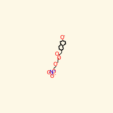 COc1ccc2cc(CC(=O)OCCOCCO[N+](=O)[O-])ccc2c1